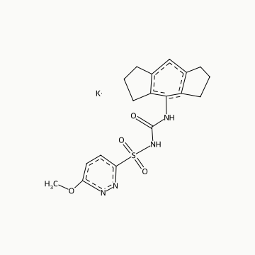 COc1ccc(S(=O)(=O)NC(=O)Nc2c3c(cc4c2CCC4)CCC3)nn1.[K]